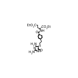 CCOC(=O)CC[C@H](NC(=O)c1ccc(CCSc2c(N)nc(N)[nH]c2=O)cc1)C(=O)OCC